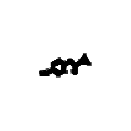 CC(C)(C)c1ccc(OC(=O)C2CC2)cc1